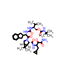 CC(C)[C@@H](COC(=O)NC(C)(C)C)NC(=O)N[C@H](C(=O)N1C[C@H]2[C@@H]([C@H]1C(=O)NC(CC1CC1)C(=O)C(N)=O)C2(C)C)C1Cc2ccccc2C1